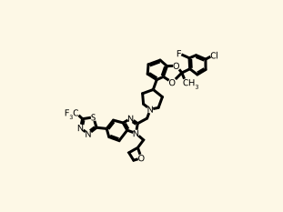 CC1(c2ccc(Cl)cc2F)Oc2cccc(C3CCN(Cc4nc5cc(-c6nnc(C(F)(F)F)s6)ccc5n4CC4CCO4)CC3)c2O1